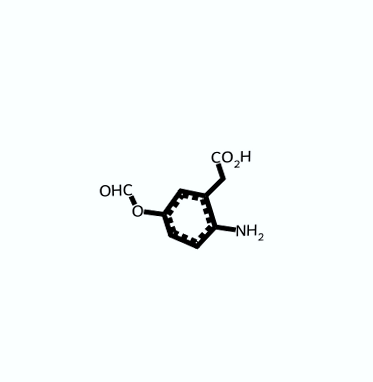 Nc1ccc(OC=O)cc1CC(=O)O